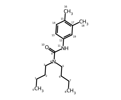 CCCCN(CCCC)C(=O)Nc1ccc(C)c(C)c1